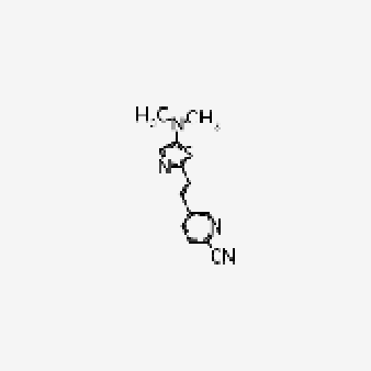 CN(C)c1cnc(/C=C/c2ccc(C#N)nc2)s1